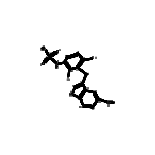 CCCS(=O)(=O)Nc1ccc(F)c(Cc2c[nH]c3ncc(OC)cc23)c1F